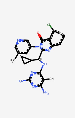 Cc1cncc(-n2c([C@@H](Nc3nc(N)nc(N)c3C#N)C3CC3)nc3cccc(Cl)c3c2=O)c1